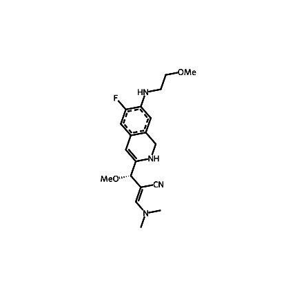 COCCNc1cc2c(cc1F)C=C([C@@H](OC)/C(C#N)=C/N(C)C)NC2